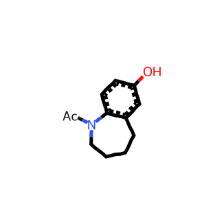 CC(=O)N1CCCCc2cc(O)ccc21